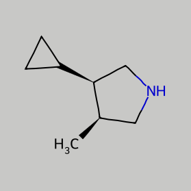 C[C@@H]1CNC[C@@H]1C1CC1